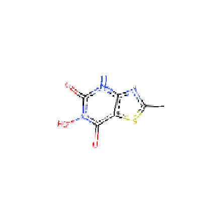 Cc1nc2[nH]c(=O)n(O)c(=O)c2s1